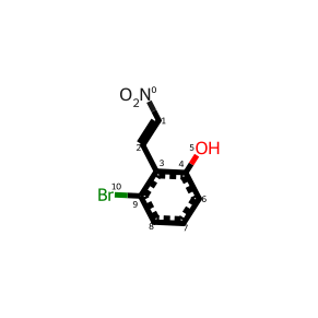 O=[N+]([O-])/C=C/c1c(O)cccc1Br